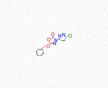 O=c1oc(OCc2ccccc2)nn1-c1ccc(Cl)nn1